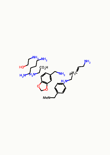 C=CCN.CC(C)CN.CNCc1ccccc1.NCC(=O)O.NCCCCN.NCCO.NCc1ccc2c(c1)OCO2